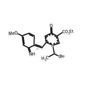 CCOC(=O)c1cn(C(C)C(C)(C)C)c(/C=C2\C=CC(OC)=CC2=N)cc1=O